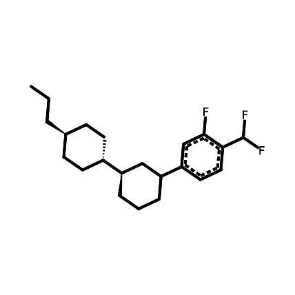 CCC[C@H]1CC[C@H]([C@@H]2CCCC(c3ccc(C(F)F)c(F)c3)C2)CC1